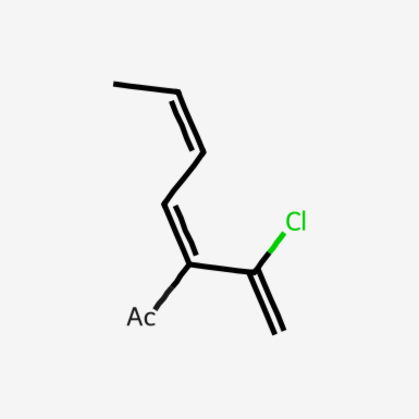 C=C(Cl)/C(=C\C=C/C)C(C)=O